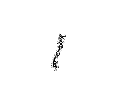 CC(C)(C)OC1CC(OCCCOCCCC2CN(C(C)(C)C)C2)C1